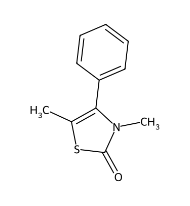 Cc1sc(=O)n(C)c1-c1ccccc1